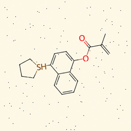 C=C(C)C(=O)Oc1ccc([SH]2CCCC2)c2ccccc12